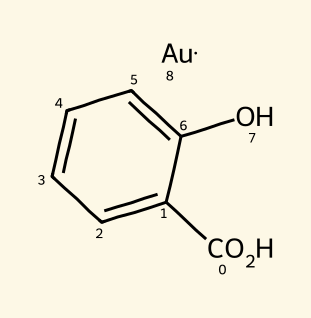 O=C(O)c1ccccc1O.[Au]